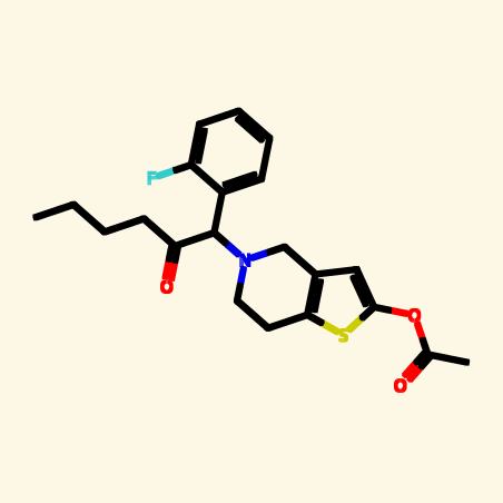 CCCCC(=O)C(c1ccccc1F)N1CCc2sc(OC(C)=O)cc2C1